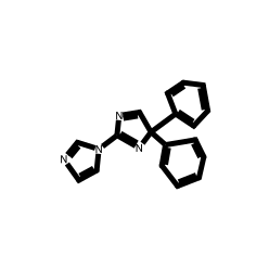 C1=NC(n2ccnc2)=NC1(c1ccccc1)c1ccccc1